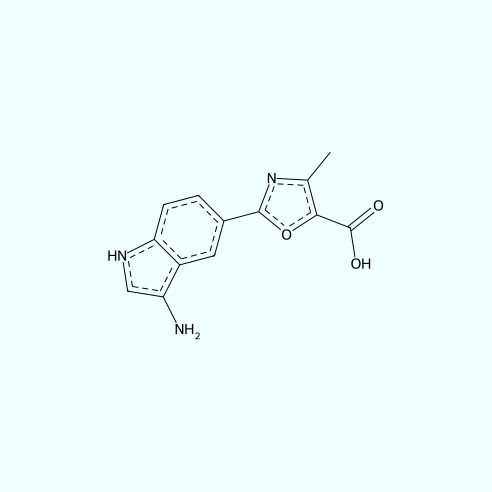 Cc1nc(-c2ccc3[nH]cc(N)c3c2)oc1C(=O)O